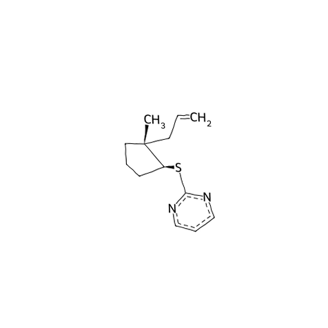 C=CC[C@@]1(C)CCC[C@@H]1Sc1ncccn1